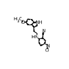 COc1ccc2[nH]cc(CCNc3ccc(N=O)cc3C#N)c2c1